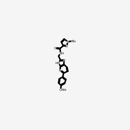 COc1ccc(-c2ccc3nc(CNC(=O)c4ccn(C(C)(C)C)n4)[nH]c3n2)cc1